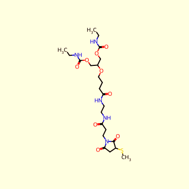 CCNC(=O)OCC(COC(=O)NCC)OCCCC(=O)NCCNC(=O)CCN1C(=O)CC(SC)C1=O